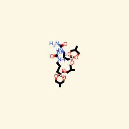 CC1CO[Si](CCCNC(N)=O)(OCC(C)CO[Si]2(CCCNC(N)=O)OCC(C)CO2)OC1